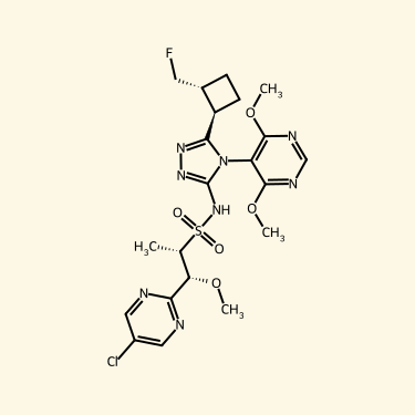 COc1ncnc(OC)c1-n1c(NS(=O)(=O)[C@@H](C)[C@H](OC)c2ncc(Cl)cn2)nnc1[C@@H]1CC[C@H]1CF